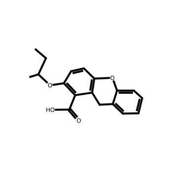 CCC(C)Oc1ccc2c(c1C(=O)O)Cc1ccccc1O2